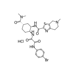 CN1CCc2nc(C(=O)N[C@@H]3C[C@@H](C(=O)N(C)C)CC[C@@H]3NC(=O)C(=O)Nc3ccc(Br)cc3)sc2C1.Cl